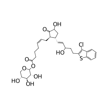 O=C(CCC/C=C\C[C@H]1C(=O)C(O)C[C@@H]1/C=C/C(O)CCc1sc2ccccc2c1Cl)OC1OC[C@@H](O)[C@H](O)[C@H]1O